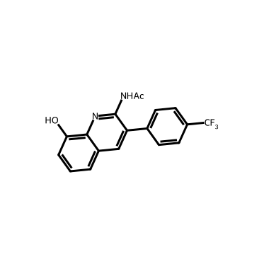 CC(=O)Nc1nc2c(O)cccc2cc1-c1ccc(C(F)(F)F)cc1